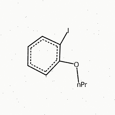 CCCOc1[c]cccc1I